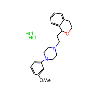 COc1cccc(N2CCN(CCC3OCCc4ccccc43)CC2)c1.Cl.Cl